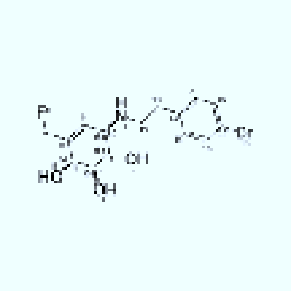 O[C@@H]1[C@@H](O)[C@@H](O)C(CF)=C[C@H]1NCCc1ccc(Br)cc1